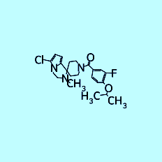 CC(C)Oc1ccc(C(=O)N2CCC3(CC2)c2ccc(Cl)n2CCN3C)cc1F